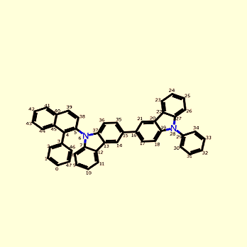 c1ccc(-c2c(-n3c4ccccc4c4cc(-c5ccc6c(c5)c5ccccc5n6-c5ccccc5)ccc43)ccc3ccccc23)cc1